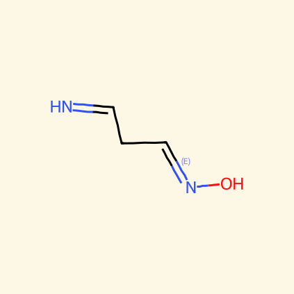 N=CC/C=N/O